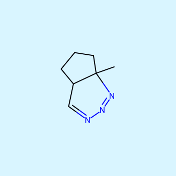 CC12CCCC1C=NN=N2